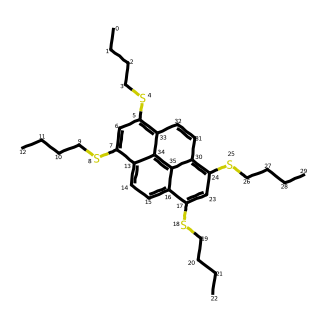 CCCCSc1cc(SCCCC)c2ccc3c(SCCCC)cc(SCCCC)c4ccc1c2c43